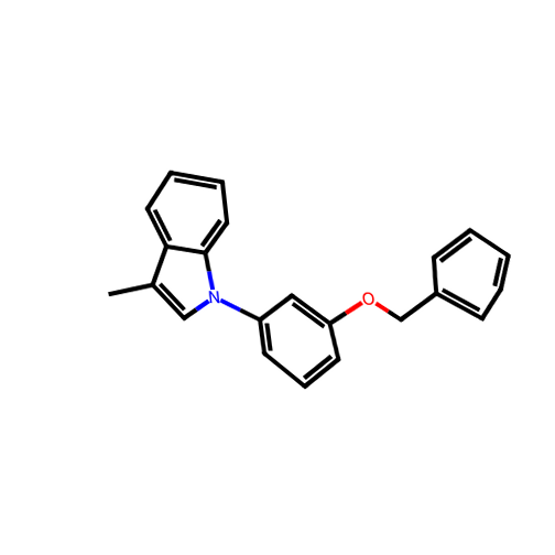 Cc1cn(-c2cccc(OCc3ccccc3)c2)c2ccccc12